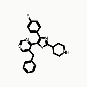 Fc1ccc(-c2nc(C3CCNCC3)sc2-c2n[c]ncc2Cc2ccccc2)cc1